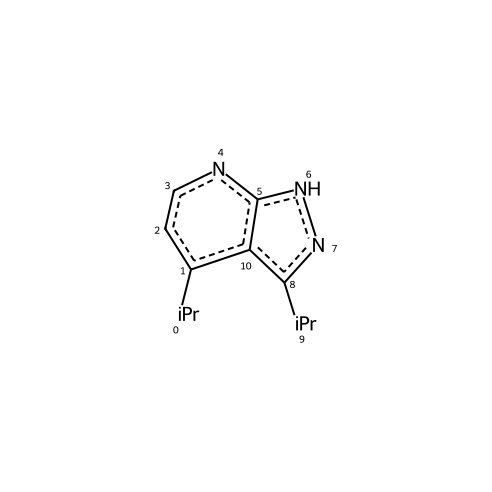 CC(C)c1ccnc2[nH]nc(C(C)C)c12